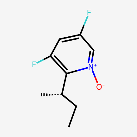 CC[C@H](C)c1c(F)cc(F)c[n+]1[O-]